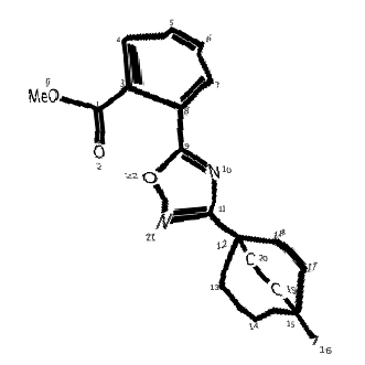 COC(=O)c1ccccc1-c1nc(C23CCC(I)(CC2)CC3)no1